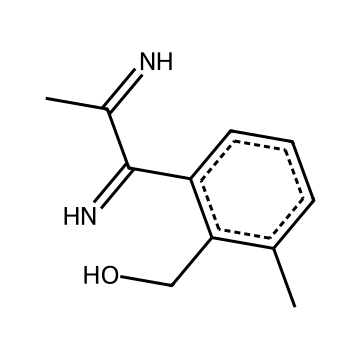 CC(=N)C(=N)c1cccc(C)c1CO